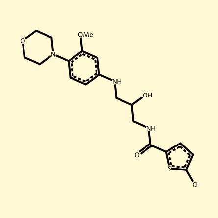 COc1cc(NCC(O)CNC(=O)c2ccc(Cl)s2)ccc1N1CCOCC1